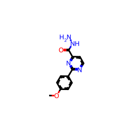 COc1ccc(-c2nccc(C(=O)NN)n2)cc1